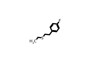 [CH2]CSCCc1ccc(F)cc1